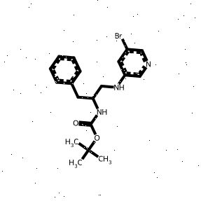 CC(C)(C)OC(=O)NC(CNc1cncc(Br)c1)Cc1ccccc1